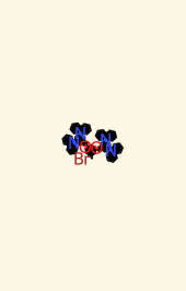 BrCc1cc(OCc2cc(-n3c4ccccc4c4ccccc43)cc(-n3c4ccccc4c4ccccc43)c2)cc(OCc2cc(-n3c4ccccc4c4ccccc43)cc(-n3c4ccccc4c4ccccc43)c2)c1